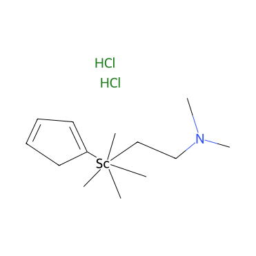 CN(C)C[CH2][Sc]([CH3])([CH3])([CH3])([CH3])[C]1=CC=CC1.Cl.Cl